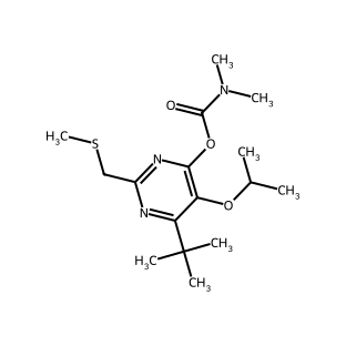 CSCc1nc(OC(=O)N(C)C)c(OC(C)C)c(C(C)(C)C)n1